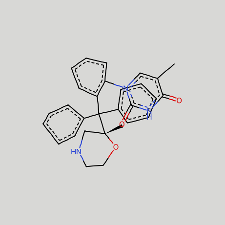 [CH2][C@]1(C(c2ccccc2)(c2ccccc2)c2ccccc2-n2cc(C)c(=O)[nH]c2=O)CNCCO1